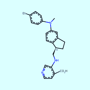 CCc1ccc(N(C)c2ccc3c(c2)CC[C@H]3CNc2cnccc2C(=O)O)cc1